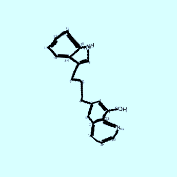 Oc1cc(CCCc2c[nH]c3ccccc23)cc2cccnc12